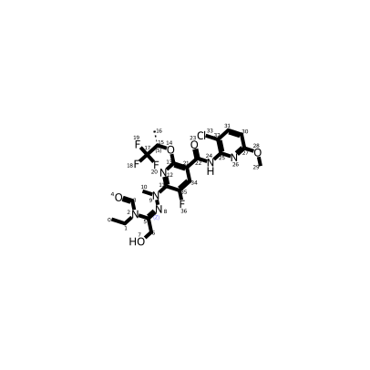 CCN(C=O)/C(CO)=N\N(C)c1nc(O[C@@H](C)C(F)(F)F)c(C(=O)Nc2nc(OC)ccc2Cl)cc1F